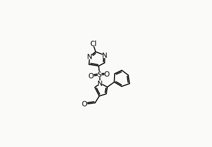 O=Cc1cc(-c2ccccc2)n(S(=O)(=O)c2cnc(Cl)nc2)c1